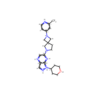 FC(F)(F)c1cc(N2CC3(CCN(c4cnc5cnn(C6CCOCC6)c5n4)C3)C2)ccn1